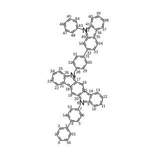 c1ccc(-c2ccc(-n3c4ccccc4c4cc5c(cc43)c3ccccc3n5-c3ccc(-c4ccc5c6ccccc6n(-c6ccccc6)c5c4)cc3)cc2)cc1